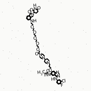 C=CC(=O)Nc1cc2c(Nc3ccc(F)c(Cl)c3)ncnc2cc1OCCCN1CCC(N2CCN(C(=O)COCCOCCOCCOCCOCCNc3cccc4c3CN(C3CCC(=O)NC3=O)C4=O)CC2)CC1